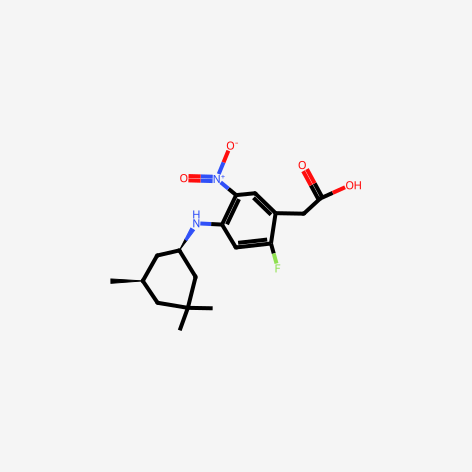 C[C@H]1C[C@@H](Nc2cc(F)c(CC(=O)O)cc2[N+](=O)[O-])CC(C)(C)C1